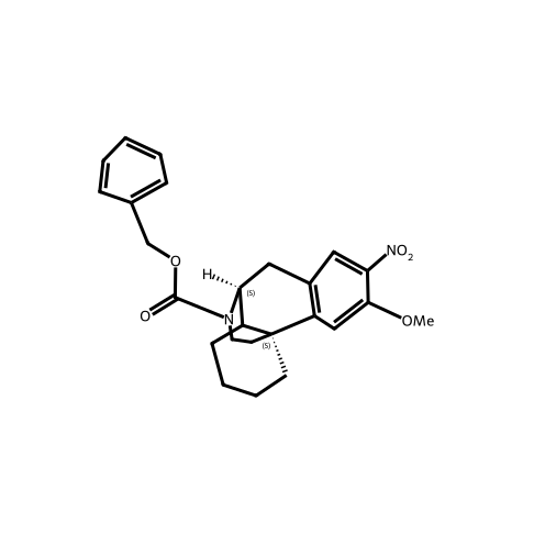 COc1cc2c(cc1[N+](=O)[O-])C[C@H]1C3CCCC[C@@]23CCN1C(=O)OCc1ccccc1